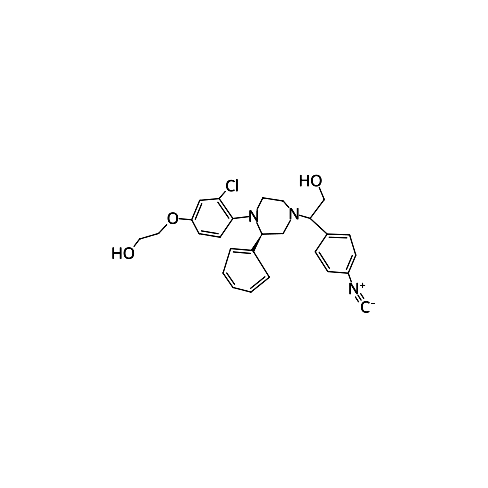 [C-]#[N+]c1ccc(C(CO)N2CCN(c3ccc(OCCO)cc3Cl)[C@H](c3ccccc3)C2)cc1